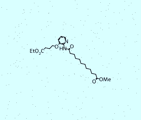 CCOC(=O)CCCOc1cccnc1NC(=O)CCCCCCCCCCC(=O)OC